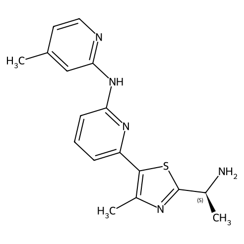 Cc1ccnc(Nc2cccc(-c3sc([C@H](C)N)nc3C)n2)c1